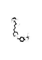 O=C(CCCC1CCN(Cc2ccc3c(c2)OC(F)(F)O3)CC1)c1ncco1